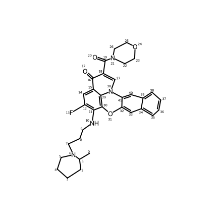 CC1CCCCN1CCCNc1c(F)cc2c(=O)c(C(=O)N3CCOCC3)cn3c2c1Oc1cc2ccccc2cc1-3